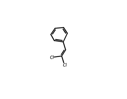 ClC(Cl)=Cc1ccccc1